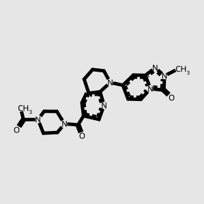 CC(=O)N1CCN(C(=O)c2cnc3c(c2)CCCN3c2ccn3c(=O)n(C)nc3c2)CC1